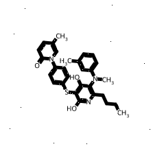 CCCCc1nc(O)c(Sc2ccc(-n3cc(C)ccc3=O)cc2)c(O)c1N(C)c1cccc(C)c1